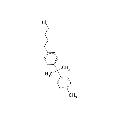 Cc1ccc(C(C)(C)c2ccc(CCCCCl)cc2)cc1